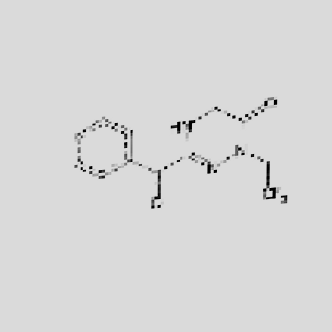 O=C(C1=NN(CC(F)(F)F)C(=O)CN1)c1ccccc1